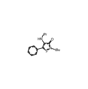 CC(C)Nc1c(-c2ccccc2)sn(C(C)(C)C)c1=O